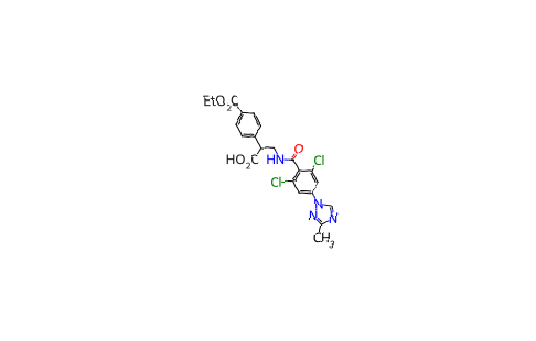 CCOC(=O)c1ccc(C(CNC(=O)c2c(Cl)cc(-n3cnc(C)n3)cc2Cl)C(=O)O)cc1